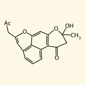 CC(=O)CC1=Cc2cccc3c4c(cc(c23)O1)OC(C)(O)CC4=O